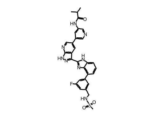 CC(C)C(=O)Nc1cncc(-c2cnc3[nH]nc(-c4nc5c(-c6cc(F)cc(CNS(C)(=O)=O)c6)cccc5[nH]4)c3c2)c1